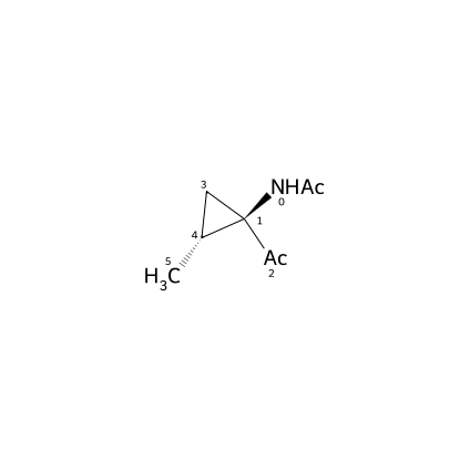 CC(=O)N[C@]1(C(C)=O)C[C@H]1C